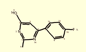 Cc1nc(O)cc(-c2ccc(F)cc2)n1